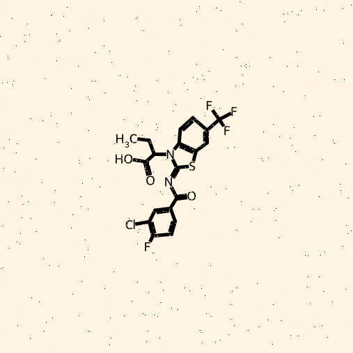 CCC(C(=O)O)n1c(=NC(=O)c2ccc(F)c(Cl)c2)sc2cc(C(F)(F)F)ccc21